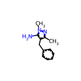 Cc1nn(C)c(N)c1Cc1ccccc1